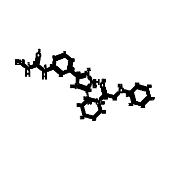 CCNC(=O)Nc1cccc(-c2n[nH]c([C@H]3CCCCN3C(=O)COc3ccccc3)n2)c1